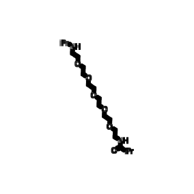 CC(C)NCCOCCOCCOCCOCCOCCNC(=O)C(C)C